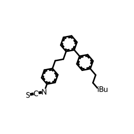 CCC(C)CCc1ccc(-c2ccccc2CCc2ccc(N=C=S)cc2)cc1